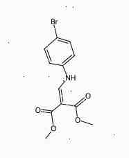 COC(=O)C(=CNc1ccc(Br)cc1)C(=O)OC